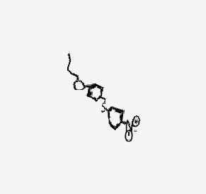 CCCCOc1ccc(CSc2ccc([N+](=O)[O-])cc2)cc1